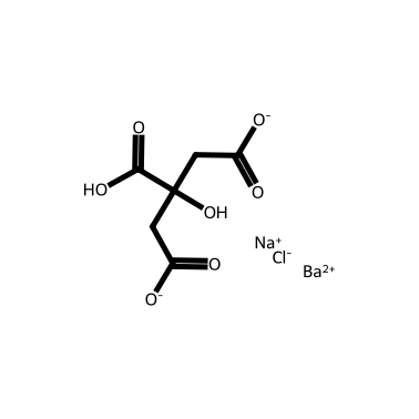 O=C([O-])CC(O)(CC(=O)[O-])C(=O)O.[Ba+2].[Cl-].[Na+]